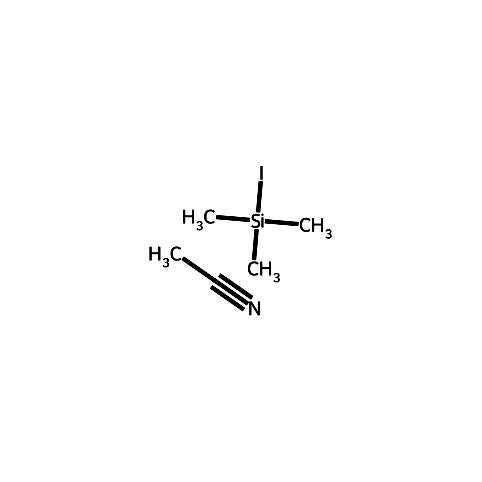 CC#N.C[Si](C)(C)I